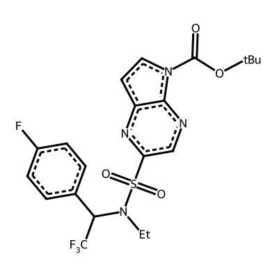 CCN(C(c1ccc(F)cc1)C(F)(F)F)S(=O)(=O)c1cnc2c(ccn2C(=O)OC(C)(C)C)n1